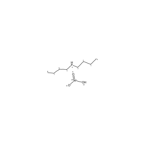 CCCCPCCCC.O=[N+]([O-])O